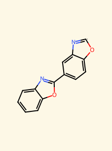 [c]1nc2cc(-c3nc4ccccc4o3)ccc2o1